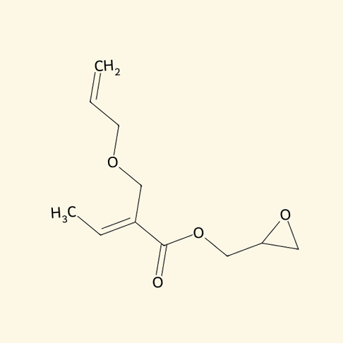 C=CCOCC(=CC)C(=O)OCC1CO1